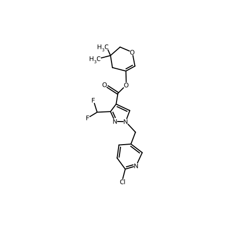 CC1(C)COC=C(OC(=O)c2cn(Cc3ccc(Cl)nc3)nc2C(F)F)C1